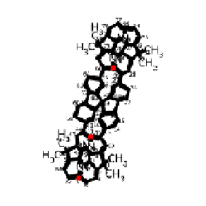 CC1(C)c2cccnc2-c2ncc(-c3ccc4c(c3)C3(c5cc(-c6cnc7c(c6)C(C)(C)c6cccnc6-7)ccc5-4)c4cc(-c5cnc6c(c5)C(C)(C)c5cccnc5-6)ccc4-c4ccc(-c5cnc6c(c5)C(C)(C)c5cccnc5-6)cc43)cc21